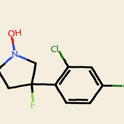 ON1CCC(F)(c2ccc(Cl)cc2Cl)C1